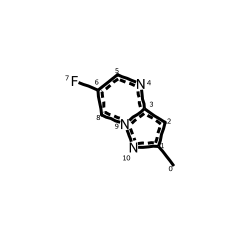 Cc1cc2ncc(F)cn2n1